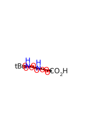 CC(C)(C)OC(=O)NCCOC(=O)CCC(=O)NCCOCCOC(=O)CCC(=O)O